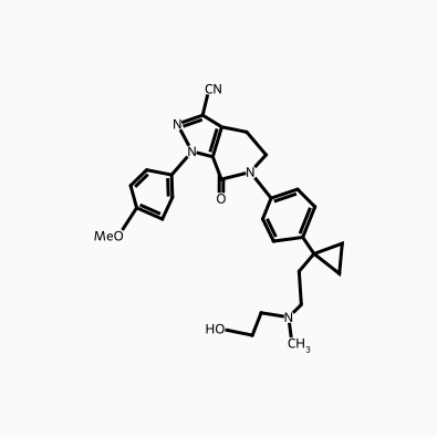 COc1ccc(-n2nc(C#N)c3c2C(=O)N(c2ccc(C4(CCN(C)CCO)CC4)cc2)CC3)cc1